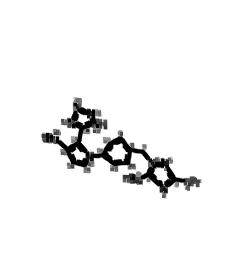 CCCCc1nc(CCC)nn1Cc1ccc(-n2ccc(C(C)(C)C)c2-c2nnn[nH]2)cc1